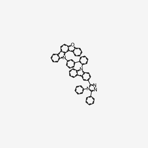 c1ccc(-c2nnc(-c3ccc4c(c3)c3ccccc3n4-c3ccccc3-c3cccc(-n4c5ccccc5c5ccc6oc7ccccc7c6c54)c3)n2-c2ccccc2)cc1